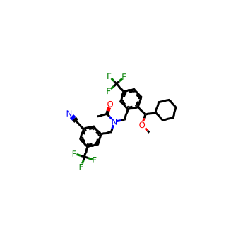 COC(c1ccc(C(F)(F)F)cc1CN(Cc1cc(C#N)cc(C(F)(F)F)c1)C(C)=O)C1CCCCC1